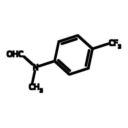 CN(C=O)c1ccc(C(F)(F)F)cc1